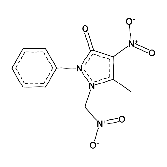 Cc1c([N+](=O)[O-])c(=O)n(-c2ccccc2)n1C[N+](=O)[O-]